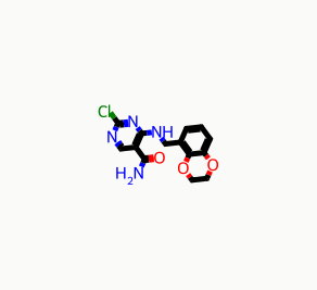 NC(=O)c1cnc(Cl)nc1NCc1cccc2c1OCCO2